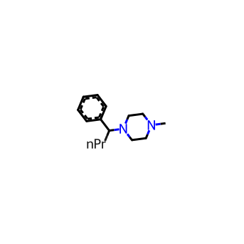 CCCC(c1ccccc1)N1CCN(C)CC1